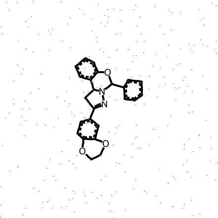 c1ccc(C2Oc3ccccc3C3CC(c4ccc5c(c4)OCCO5)=NN32)cc1